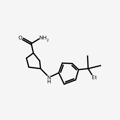 CCC(C)(C)c1ccc(NC2CCC(C(N)=O)C2)cc1